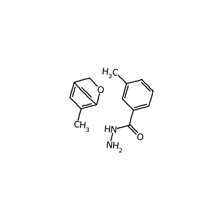 Cc1cc2ccc1OC2.Cc1cccc(C(=O)NN)c1